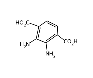 Nc1c(C(=O)O)ccc(C(=O)O)c1N